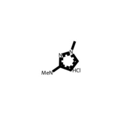 CNc1ccn(C)n1.Cl